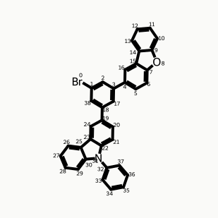 Brc1cc(-c2ccc3oc4ccccc4c3c2)cc(-c2ccc3c(c2)c2ccccc2n3-c2ccccc2)c1